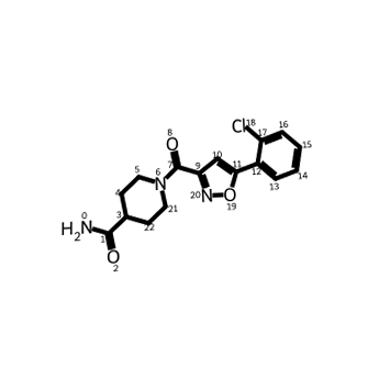 NC(=O)C1CCN(C(=O)c2cc(-c3ccccc3Cl)on2)CC1